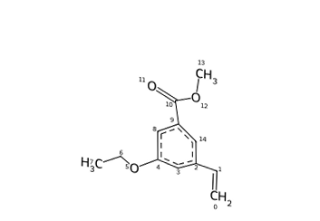 C=Cc1cc(OCC)cc(C(=O)OC)c1